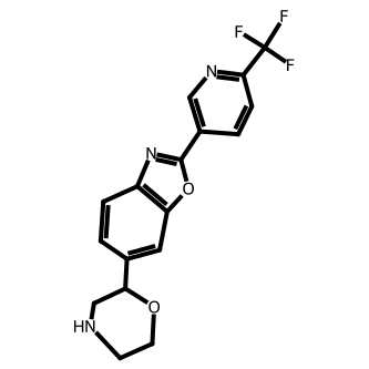 FC(F)(F)c1ccc(-c2nc3ccc(C4CNCCO4)cc3o2)cn1